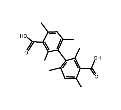 Cc1cc(C)c(-c2c(C)cc(C)c(C(=O)O)c2C)c(C)c1C(=O)O